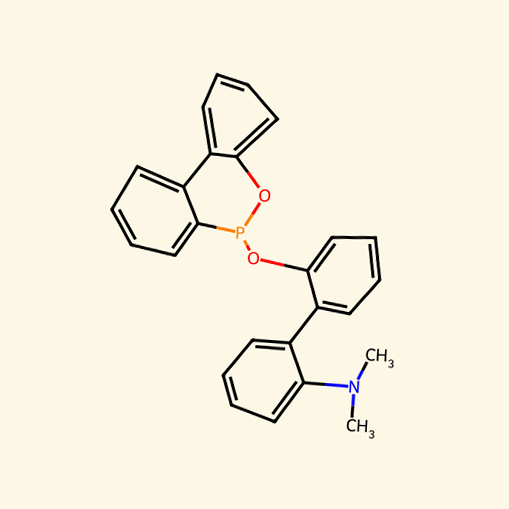 CN(C)c1ccccc1-c1ccccc1OP1Oc2ccccc2-c2ccccc21